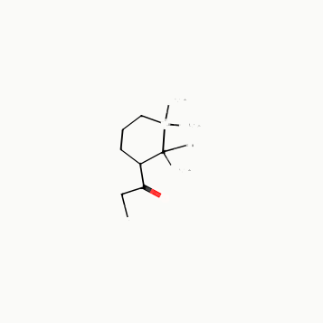 CCCC1(OC)C(C(=O)CC(C)=O)CCC[Si]1(OC)OC